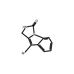 O=C1NCc2c(Br)c3ccccc3n21